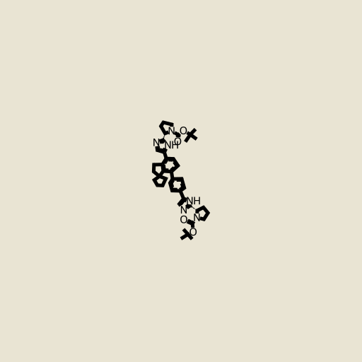 CC(C)(C)OC(=O)N1CCC[C@H]1c1ncc(-c2ccc(-c3ccc(-c4cnc([C@@H]5CCCN5C(=O)OC(C)(C)C)[nH]4)c4c3C3(CCCC3)CC4)cc2)[nH]1